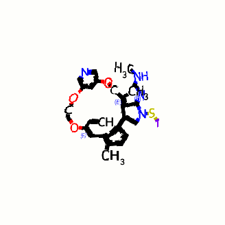 C=C/C1=C\c2cc(ccc2C)C2=CN(SI)C(=N/CNC)/C2=C(\C)COc2cncc(c2)OCCO1